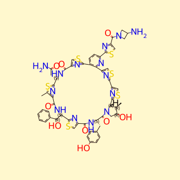 Cc1sc2nc1C(=O)N[C@@H]([C@H](O)c1ccccc1)c1nc(cs1)C(=O)N[C@@H](Cc1ccc(O)cc1)C(=O)N1C[C@H](O)[C@H](C)[C@H]1c1nc(cs1)-c1nc(cs1)-c1nc(-c3nc(C(=O)N4CC(N)C4)cs3)ccc1-c1nc(cs1)C(=O)N[C@H]2CC(N)=O